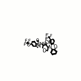 CN=S(=O)(NC1COCC(N2c3ccccc3Oc3ccc(C(F)(F)F)cc32)C1O)c1ccc(OC(F)(F)F)cc1